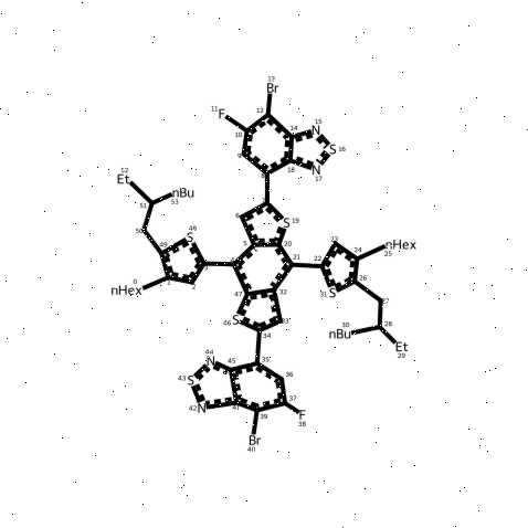 CCCCCCc1cc(-c2c3cc(-c4cc(F)c(Br)c5nsnc45)sc3c(-c3cc(CCCCCC)c(CC(CC)CCCC)s3)c3cc(-c4cc(F)c(Br)c5nsnc45)sc23)sc1CC(CC)CCCC